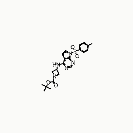 Cc1ccc(S(=O)(=O)n2ccc3c(NC4CN(C(=O)OC(C)(C)C)C4)ncnc32)cc1